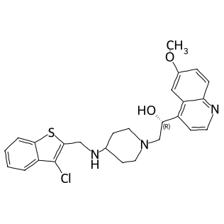 COc1ccc2nccc([C@@H](O)CN3CCC(NCc4sc5ccccc5c4Cl)CC3)c2c1